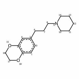 c1cc2c(cc1CCCN1CCCCC1)OCCO2